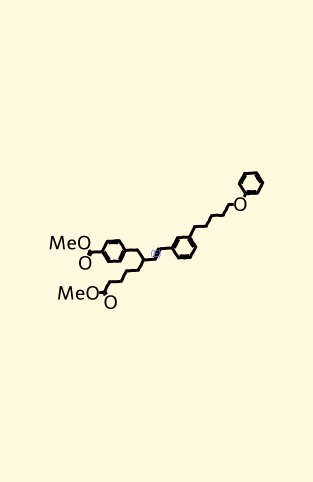 COC(=O)CCCCC(/C=C/c1cccc(CCCCCOc2ccccc2)c1)Cc1ccc(C(=O)OC)cc1